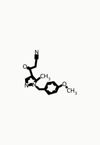 COc1ccc(Cn2ncc(C(=O)CC#N)c2C)cc1